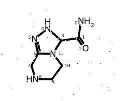 NC(=O)C1NN=C2CNCCN21